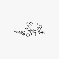 COCn1nnc(CC[C@H](NC(=O)c2cccc3ccccc23)C(=O)N2c3ccccc3C[C@H]2C(=O)N[C@@H](CC(=O)OC(C)(C)C)C(=O)COc2c(F)cccc2F)n1